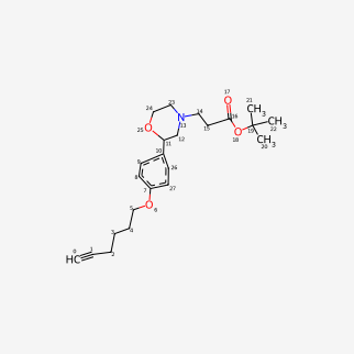 C#CCCCCOc1ccc(C2CN(CCC(=O)OC(C)(C)C)CCO2)cc1